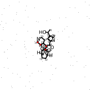 CC(O)c1cc(C(=O)NC2C[C@H]3CC[C@@H](C2)N3S(=O)(=O)CC23CCN(CC2)CC3)no1